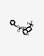 O=C(Nc1ccnc2ccc(C(F)(F)F)cc12)OCc1ccccc1